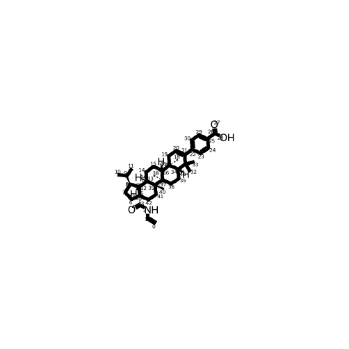 C=CNC(=O)[C@]12CC[C@@H](C(C)C)[C@@H]1[C@H]1CC[C@@H]3[C@@]4(C)CC=C(c5ccc(C(=O)O)cc5)C(C)(C)[C@@H]4CC[C@@]3(C)[C@]1(C)CC2